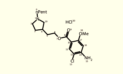 CCCCCN1CCC(CCOC(=O)c2cc(Cl)c(N)cc2OC)C1.Cl